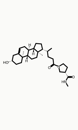 CNC(=O)[C@H]1CCN(C(=O)CCC(C)[C@H]2CC[C@H]3[C@@H]4CC=C5C[C@@H](O)CC[C@]5(C)[C@H]4CC[C@]23C)C1